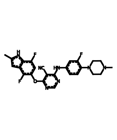 Cc1cc2c(F)c(Oc3ncnc(Nc4ccc(N5CCN(C)CC5)c(F)c4)c3C#N)cc(F)c2[nH]1